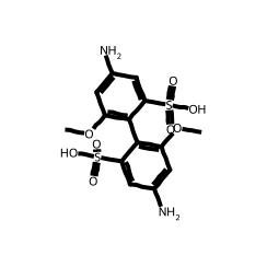 COc1cc(N)cc(S(=O)(=O)O)c1-c1c(OC)cc(N)cc1S(=O)(=O)O